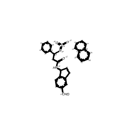 O=Cc1ccc2c(c1)CCC2NC(=O)CC(N=S(=O)=O)c1ccccc1.c1ccc2ccccc2c1